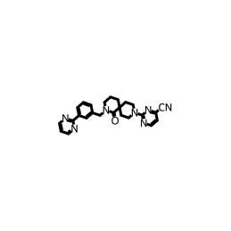 N#Cc1ccnc(N2CCC3(CCCN(Cc4cccc(-c5ncccn5)c4)C3=O)CC2)n1